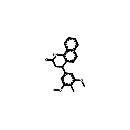 COc1cc(C2CC(=S)Nc3c2ccc2ccccc32)cc(OC)c1C